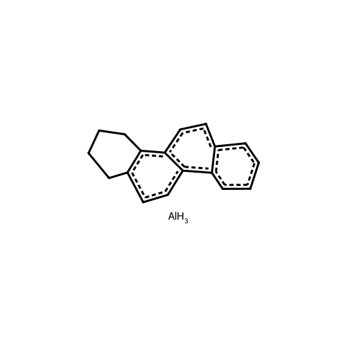 [AlH3].c1ccc2c(c1)ccc1c3c(ccc12)CCCC3